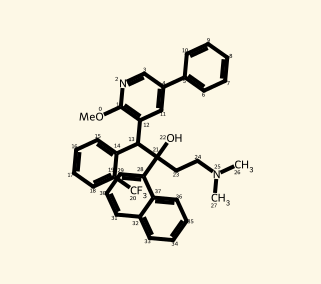 COc1ncc(-c2ccccc2)cc1C(c1ccccc1C(F)(F)F)C(O)(CCN(C)C)c1cccc2ccccc12